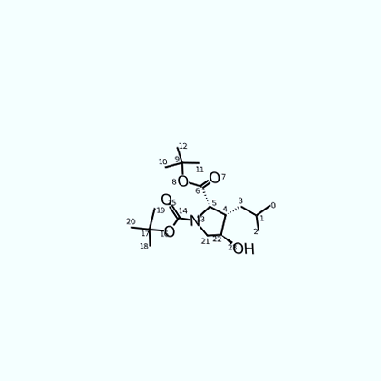 CC(C)C[C@H]1[C@@H](C(=O)OC(C)(C)C)N(C(=O)OC(C)(C)C)C[C@@H]1O